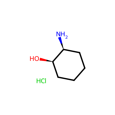 Cl.N[C@H]1CCCC[C@H]1O